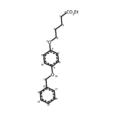 CCOC(=O)CCCCOc1ccc(OCc2ccccc2)cc1